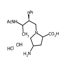 CCC[C@@H](CN1CC(N)CC1C(=O)O)C(C)NC(C)=O.Cl.Cl